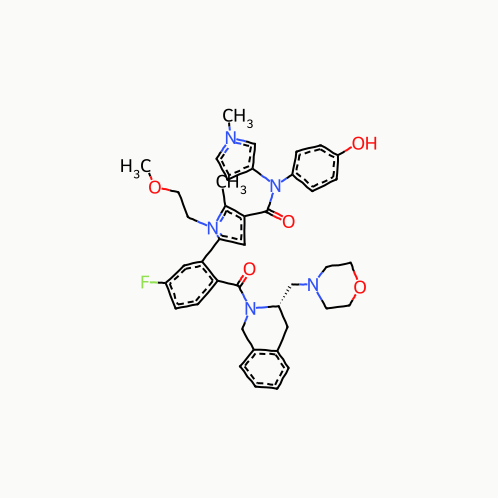 COCCn1c(-c2cc(F)ccc2C(=O)N2Cc3ccccc3C[C@H]2CN2CCOCC2)cc(C(=O)N(c2ccc(O)cc2)c2ccn(C)c2)c1C